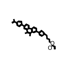 C=CC(=O)OCCCCc1ccc(-c2ccc3c(c2)c(C)c(C)c2cc(-c4ccc(C(=C)C)cc4)ccc23)cc1